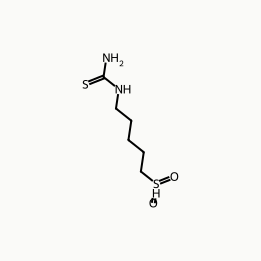 NC(=S)NCCCCC[SH](=O)=O